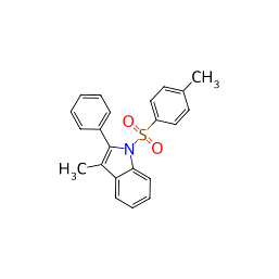 Cc1ccc(S(=O)(=O)n2c(-c3ccccc3)c(C)c3ccccc32)cc1